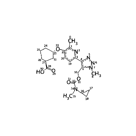 Cc1nc(-c2nnn(C)c2COC(=O)N(C)C2CC2)ccc1O[C@H]1CCC[C@H](C(=O)O)C1